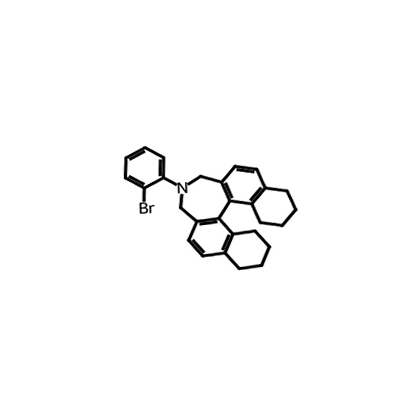 Brc1ccccc1N1Cc2ccc3c(c2-c2c(ccc4c2CCCC4)C1)CCCC3